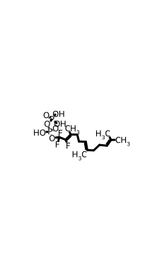 CC(C)=CCCC(C)=CCCC(C)=C(F)C(F)(F)OP(=O)(O)OP(=O)(O)O